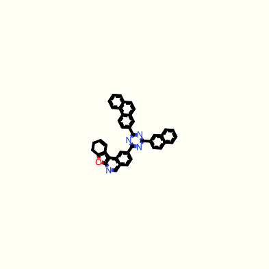 C1=Cc2c(oc3ncc4ccc(-c5nc(-c6ccc7ccccc7c6)nc(-c6ccc7c(ccc8ccccc87)c6)n5)cc4c23)CC1